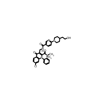 CN(C)C(=O)c1c(CNC(=O)c2ccc(N3CCC(CCO)CC3)nc2)c(=O)c2ccc(Cl)cc2n1-c1ccccc1